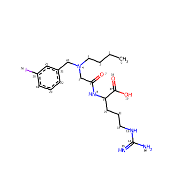 CCCCN(CC(=O)NC(CCCNC(=N)N)C(=O)O)Cc1cccc(I)c1